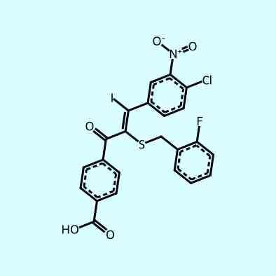 O=C(O)c1ccc(C(=O)C(SCc2ccccc2F)=C(I)c2ccc(Cl)c([N+](=O)[O-])c2)cc1